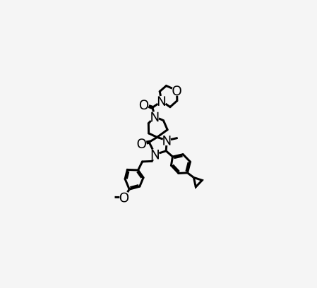 COc1ccc(CCN2C(=O)C3(CCN(C(=O)N4CCOCC4)CC3)N(C)C2c2ccc(C3CC3)cc2)cc1